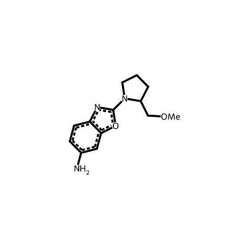 COCC1CCCN1c1nc2ccc(N)cc2o1